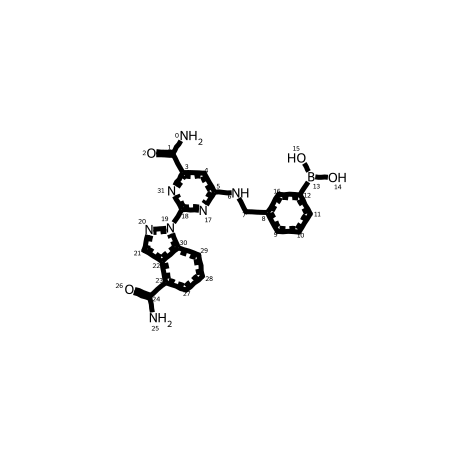 NC(=O)c1cc(NCc2cccc(B(O)O)c2)nc(-n2ncc3c(C(N)=O)cccc32)n1